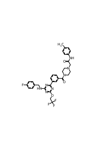 Cc1ccc(NC(=O)CN2CCN(C(=O)c3cccc(-c4nc(NCc5ccc(F)cc5)nc(OCC(F)(F)F)n4)c3)CC2)cc1